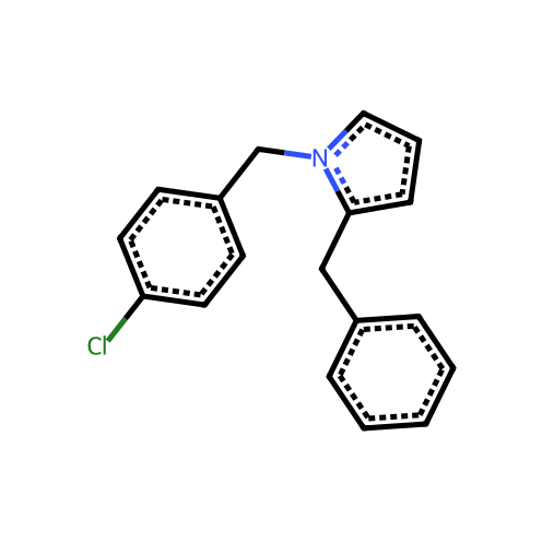 Clc1ccc(Cn2cccc2Cc2ccccc2)cc1